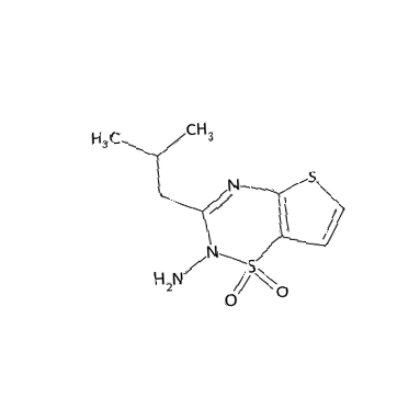 CC(C)CC1=Nc2sccc2S(=O)(=O)N1N